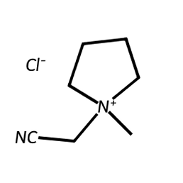 C[N+]1(CC#N)CCCC1.[Cl-]